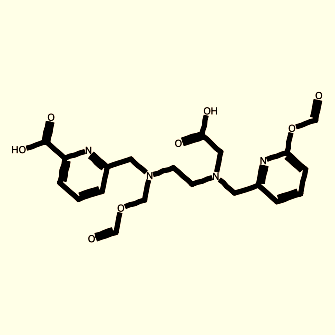 O=COCN(CCN(CC(=O)O)Cc1cccc(OC=O)n1)Cc1cccc(C(=O)O)n1